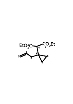 C=CCC1(C(C(=O)OCC)C(=O)OCC)CC1